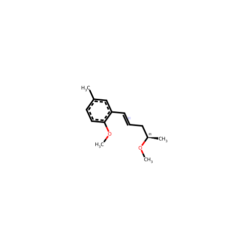 COc1ccc(C)cc1/C=C/C[C@@H](C)OC